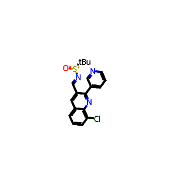 CC(C)(C)[S+]([O-])/N=C/c1cc2cccc(Cl)c2nc1-c1cccnc1